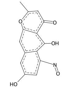 Cc1cc(=O)c2c(O)c3c(N=O)cc(O)cc3cc2o1